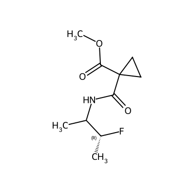 COC(=O)C1(C(=O)NC(C)[C@@H](C)F)CC1